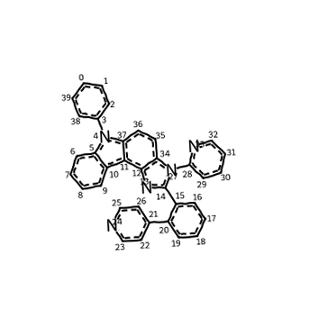 c1ccc(-n2c3ccccc3c3c4nc(-c5ccccc5-c5ccncc5)n(-c5ccccn5)c4ccc32)cc1